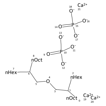 CCCCCCCCC(CCCCCC)COCC(CCCCCC)CCCCCCCC.O=P([O-])([O-])[O-].O=P([O-])([O-])[O-].[Ca+2].[Ca+2].[Ca+2]